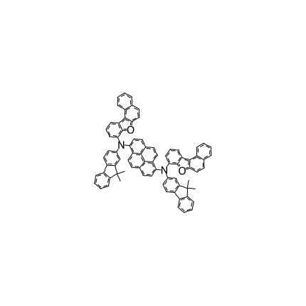 CC1(C)c2ccccc2-c2ccc(N(c3ccc4ccc5c(N(c6ccc7c(c6)C(C)(C)c6ccccc6-7)c6cccc7c6oc6ccc8ccccc8c67)ccc6ccc3c4c65)c3cccc4c3oc3ccc5ccccc5c34)cc21